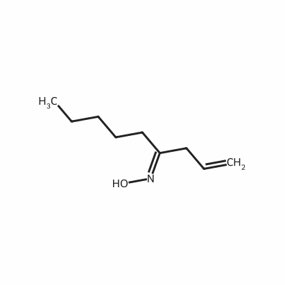 C=CCC(CCCCC)=NO